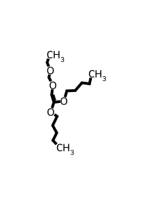 CCCCCOC(=COCOCC)OCCCCC